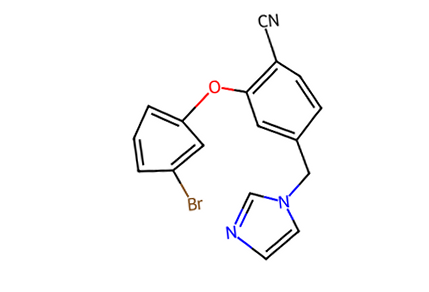 N#Cc1ccc(Cn2ccnc2)cc1Oc1cccc(Br)c1